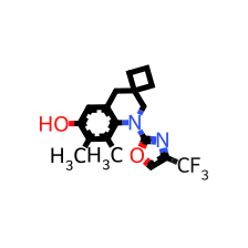 Cc1c(O)cc2c(c1C)N(c1nc(C(F)(F)F)co1)CC1(CCC1)C2